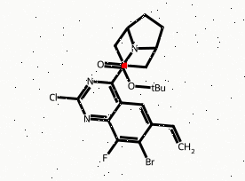 C=Cc1cc2c(N3CC4CCC(C3)N4C(=O)OC(C)(C)C)nc(Cl)nc2c(F)c1Br